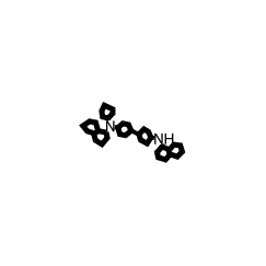 c1ccc(N(c2ccc(-c3ccc(Nc4cccc5ccccc45)cc3)cc2)c2cccc3ccccc23)cc1